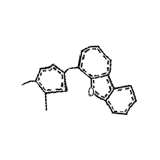 Cc1ccc(-c2cccc3c2oc2ccccc23)cc1C